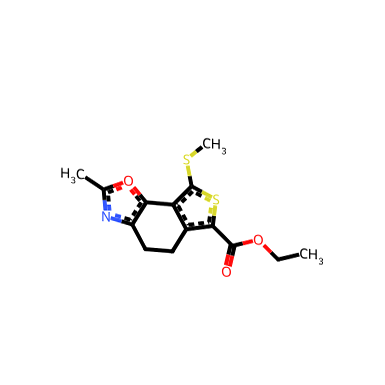 CCOC(=O)c1sc(SC)c2c1CCc1nc(C)oc1-2